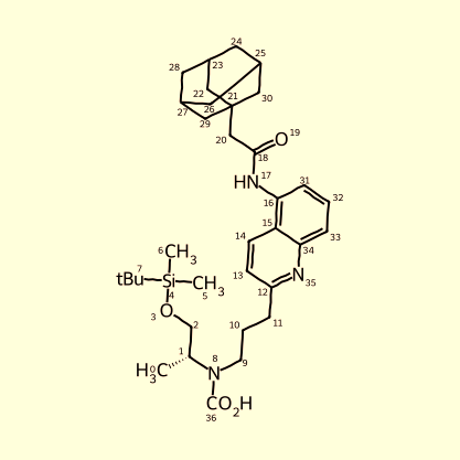 C[C@H](CO[Si](C)(C)C(C)(C)C)N(CCCc1ccc2c(NC(=O)CC34CC5CC(CC(C5)C3)C4)cccc2n1)C(=O)O